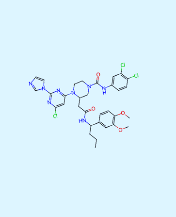 CCCC(NC(=O)CC1CN(C(=O)Nc2ccc(Cl)c(Cl)c2)CCN1c1cc(Cl)nc(-n2ccnc2)n1)c1ccc(OC)c(OC)c1